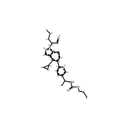 CCCOC(=O)NC(C)c1ccc(-c2ccc3c(cnn3C(C=O)CCC)c2C2CC2)nc1